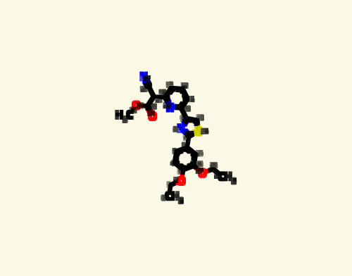 CCOc1ccc(-c2nc(-c3cccc(C(C#N)C(=O)OC)n3)cs2)cc1OCC